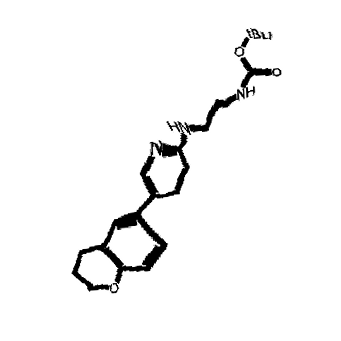 CC(C)(C)OC(=O)NCCNc1ccc(-c2ccc3c(c2)CCCO3)cn1